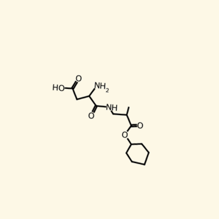 CC(CNC(=O)C(N)CC(=O)O)C(=O)OC1CCCCC1